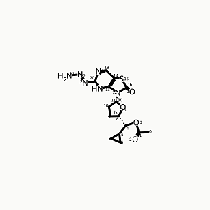 CC(=O)OC(C1CC1)[C@@H]1CC[C@H](n2c3c(sc2=O)C=NC(N=NN)N3)O1